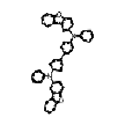 c1ccc(N(c2ccc(-c3ccc(N(c4ccccc4)c4ccc5oc6ccccc6c5c4)cc3)cc2)c2ccc3oc4ccccc4c3c2)cc1